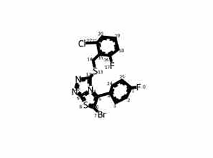 Fc1ccc(-c2c(Br)sc3nnc(SCc4c(F)cccc4Cl)n23)cc1